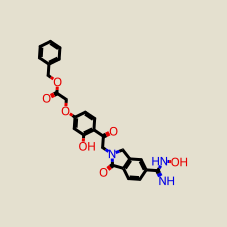 N=C(NO)c1ccc2c(c1)CN(CC(=O)c1ccc(OCC(=O)OCc3ccccc3)cc1O)C2=O